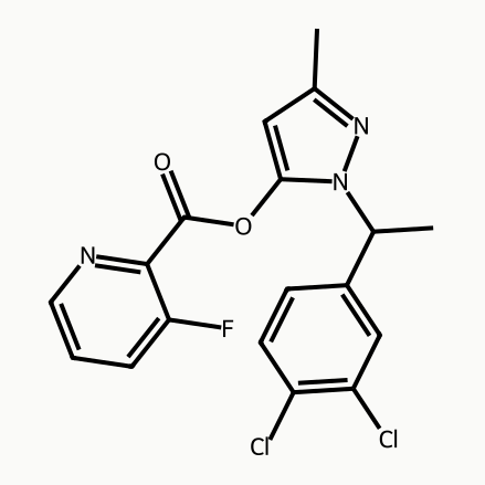 Cc1cc(OC(=O)c2ncccc2F)n(C(C)c2ccc(Cl)c(Cl)c2)n1